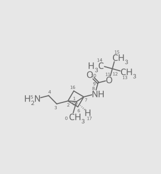 C[C@H]1C2(CCN)CC1(NC(=O)OC(C)(C)C)C2